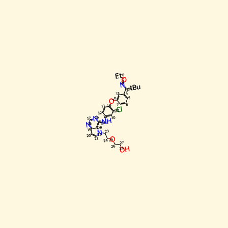 CCON=C(c1cccc(Oc2ccc(Nc3ncnc4ccn(CCOCCO)c34)cc2Cl)c1)C(C)(C)C